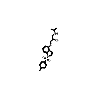 Cc1ccc(S(=O)(=O)n2ccc3c(OCC(O)CNC(C)C)cccc32)cc1